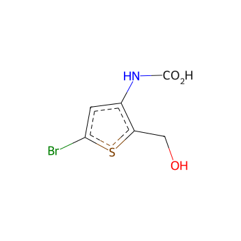 O=C(O)Nc1cc(Br)sc1CO